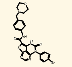 O=C(Nc1ccc(CN2CCOCC2)cc1)c1sc2ncnc3c2c1NC(=O)N3c1ccc(Br)cc1